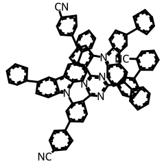 N#Cc1ccc(-c2ccc(-c3nc(-c4cccc(-c5ccccc5C#N)c4)nc(-c4ccc(-c5ccc(C#N)cc5)cc4-n4c5ccc(-c6ccccc6)cc5c5cc(-c6ccccc6)ccc54)n3)c(-n3c4ccc(-c5ccccc5)cc4c4cc(-c5ccccc5)ccc43)c2)cc1